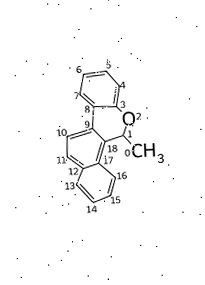 CC1Oc2ccccc2-c2ccc3ccccc3c21